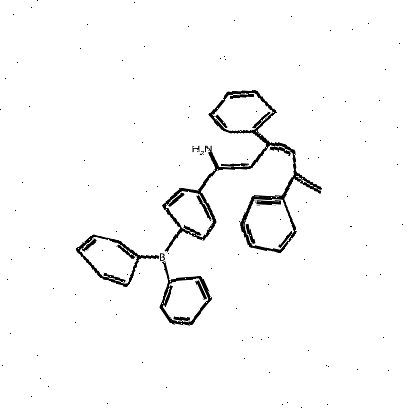 C=C(/C=C(\C=C(/N)c1ccc(B(c2ccccc2)c2ccccc2)cc1)c1ccccc1)c1ccccc1